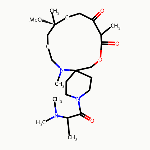 CO[C@]1(C)CCCN(C)C2(CCN(C(=O)C(C)N(C)C)CC2)COC(=O)C(C)C(=O)CC1